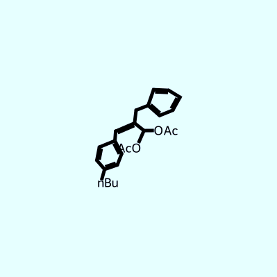 CCCCc1ccc(C=C(Cc2ccccc2)C(OC(C)=O)OC(C)=O)cc1